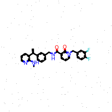 C=C(c1cccc(CNC(=O)c2cccn(Cc3ccc(F)c(F)c3)c2=O)c1)c1cccnc1NC